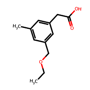 CCOCc1cc(C)cc(CC(=O)O)c1